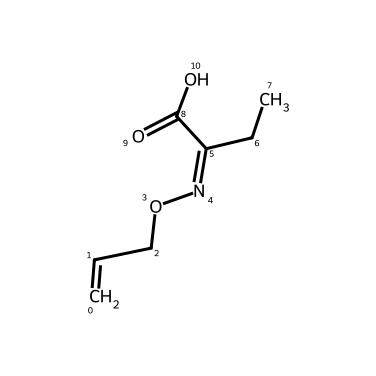 C=CCON=C(CC)C(=O)O